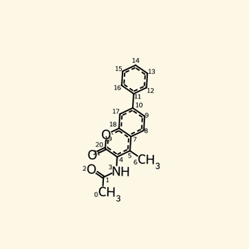 CC(=O)Nc1c(C)c2ccc(-c3ccccc3)cc2oc1=O